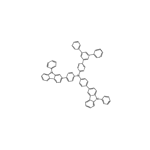 c1ccc(-c2cc(-c3ccccc3)cc(-c3ccc(N(c4ccc(-c5ccc6c(c5)c5ccccc5n6-c5ccccc5)cc4)c4ccc(-c5ccc6c7ccccc7n(-c7ccccc7)c6c5)cc4)cc3)c2)cc1